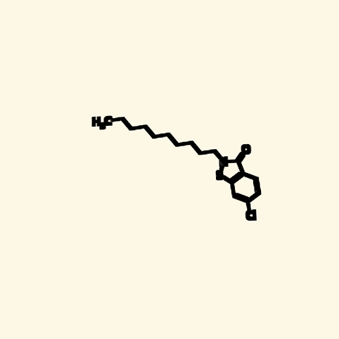 CCCCCCCCCCn1sc2cc(Cl)ccc2c1=O